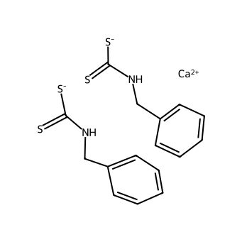 S=C([S-])NCc1ccccc1.S=C([S-])NCc1ccccc1.[Ca+2]